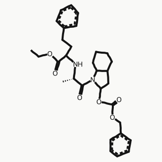 CCOC(=O)C(CCc1ccccc1)N[C@@H](C)C(=O)N1C(OC(=O)OCc2ccccc2)CC2CCCCC21